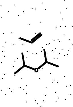 C=CC.CC(C)OC(C)C